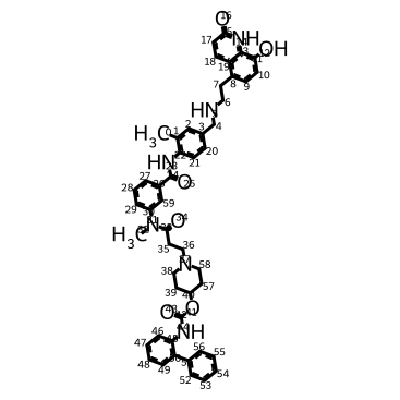 Cc1cc(CNCCc2ccc(O)c3[nH]c(=O)ccc23)ccc1NC(=O)c1cccc(N(C)C(=O)CCN2CCC(OC(=O)Nc3ccccc3-c3ccccc3)CC2)c1